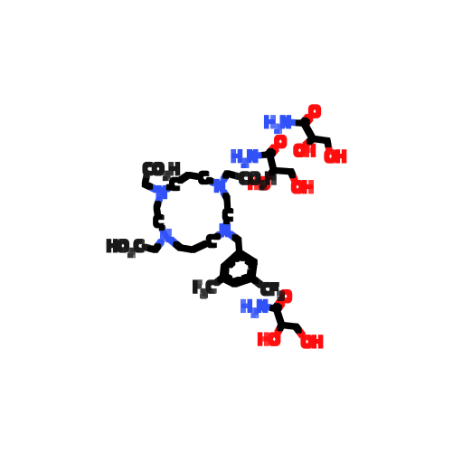 NC(=O)C(O)CO.NC(=O)C(O)CO.NC(=O)C(O)CO.O=C(O)CN1CCCN(CC(=O)O)CCN(Cc2cc(C(F)(F)F)cc(C(F)(F)F)c2)CCCN(CC(=O)O)CC1